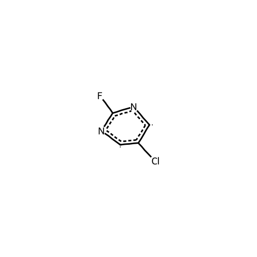 Fc1n[c]c(Cl)[c]n1